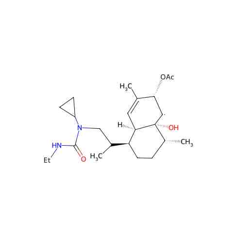 CCNC(=O)N(CC(C)[C@@H]1CC[C@@H](C)[C@]2(O)[CH][C@@H](OC(C)=O)C(C)=C[C@H]12)C1CC1